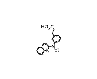 CCN(c1cccc(CCC(=O)O)c1)c1ccc2ccccc2n1